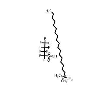 CCCCCCCCCCCCCCCCCC[N+](C)(C)C.O=S(=O)(O)C(F)(F)C(F)(F)C(F)(F)C(F)(F)F